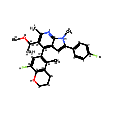 Cc1nc2c(cc(-c3ccc(F)cc3)n2C)c(-c2cc(F)c3c(c2C)CCCO3)c1[C@H](OC(C)(C)C)C(=O)O